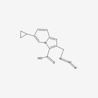 [N-]=[N+]=NCc1cc2ccc(C3CC3)cn2c1C(=O)O